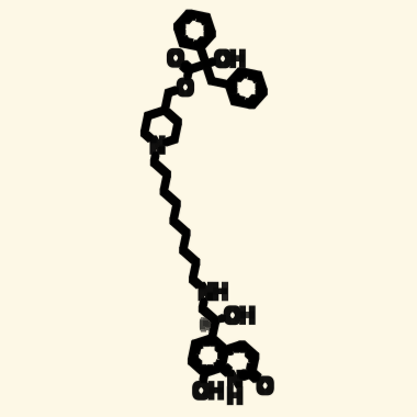 O=C(OCC1CCN(CCCCCCCCCNC[C@@H](O)c2ccc(O)c3[nH]c(=O)ccc23)CC1)C(O)(Cc1ccccc1)c1ccccc1